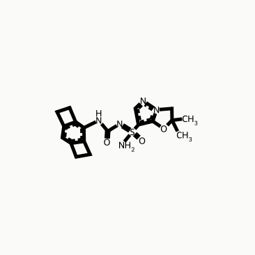 CC1(C)Cn2ncc(S(N)(=O)=NC(=O)Nc3c4c(cc5c3CC5)CC4)c2O1